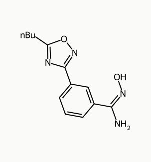 CCCCc1nc(-c2cccc(/C(N)=N\O)c2)no1